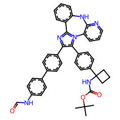 CC(C)(C)OC(=O)NC1(c2ccc(-c3c(-c4ccc(-c5ccc(NC=O)cc5)cc4)nc4n3-c3cccnc3Nc3ccccc3-4)cc2)CCC1